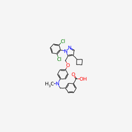 CN(Cc1cccc(C(=O)O)c1)c1ccc(OCc2c(C3CCC3)cnn2-c2c(Cl)cccc2Cl)cc1